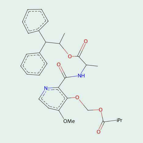 COc1ccnc(C(=O)NC(C)C(=O)OC(C)C(c2ccccc2)c2ccccc2)c1OCOC(=O)C(C)C